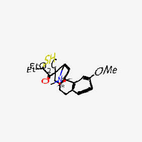 CCOC(=O)C1(C(=O)C(S)CC)C[C@@]23CCCC[C@]24CC1N(C)C3Cc1ccc(OC)cc14